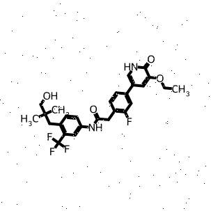 CCOc1cc(-c2ccc(CC(=O)Nc3ccc(CC(C)(C)CO)c(C(F)(F)F)c3)c(F)c2)c[nH]c1=O